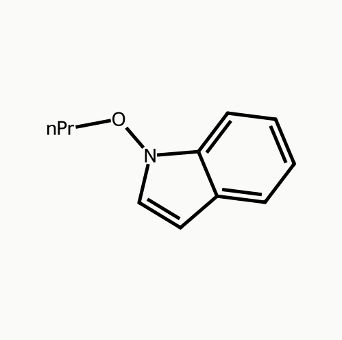 CCCOn1ccc2ccccc21